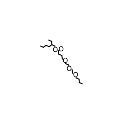 CCCCOCCOCCOCCCC(=O)OCC(CC)CCCC